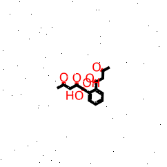 CC(=O)CC(=O)c1ccccc1C(O)(O)C(=O)CC(C)=O